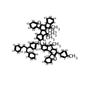 Cc1ccc(-c2cc3c(c4c2oc2ccccc24)-c2ccc(N(c4ccc(C(Cc5ccccc5)Cc5ccccc5)cc4)c4ccc5c(c4)C(C)(C)c4c6c(c7oc8ccccc8c7c4-5)-c4ccccc4C6(C)C)cc2C3(C)C)cc1